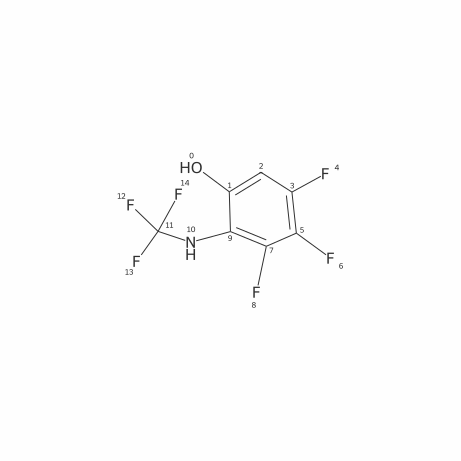 Oc1cc(F)c(F)c(F)c1NC(F)(F)F